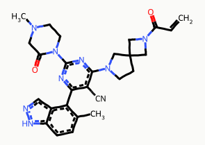 C=CC(=O)N1CC2(CCN(c3nc(N4CCN(C)CC4=O)nc(-c4c(C)ccc5[nH]ncc45)c3C#N)C2)C1